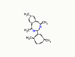 C=c1ccccc(=C)cc(-c2cnc(=C)cc3c(cc(=C)n2)C=CC(C)C=C3)cc1